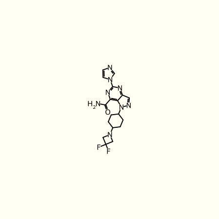 NC(=O)c1nc(-n2ccnc2)nc2cnn(C3CCC(N4CC(F)(F)C4)CC3)c12